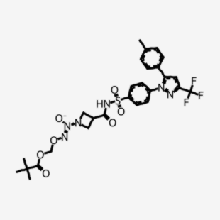 Cc1ccc(-c2cc(C(F)(F)F)nn2-c2ccc(S(=O)(=O)NC(=O)C3CN(/[N+]([O-])=N/OCOC(=O)C(C)(C)C)C3)cc2)cc1